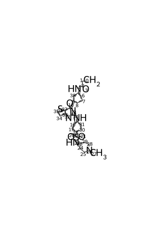 C=CC(=O)Nc1cccc(Oc2nc(Nc3ccc(S(=O)(=O)NC4CCN(C)CC4)cc3)nc3ccsc23)c1